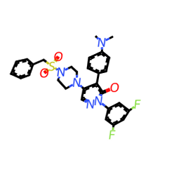 CN(C)c1ccc(-c2c(N3CCN(S(=O)(=O)Cc4ccccc4)CC3)cnn(-c3cc(F)cc(F)c3)c2=O)cc1